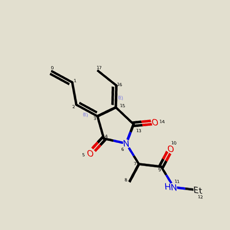 C=C/C=C1/C(=O)N(C(C)C(=O)NCC)C(=O)/C1=C/C